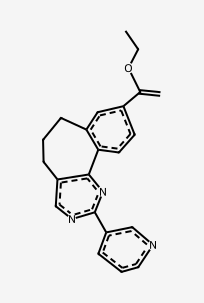 C=C(OCC)c1ccc2c(c1)CCCc1cnc(-c3cccnc3)nc1-2